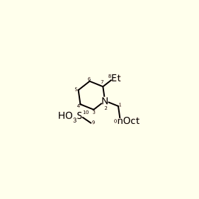 CCCCCCCCCN1CCCCC1CC.CS(=O)(=O)O